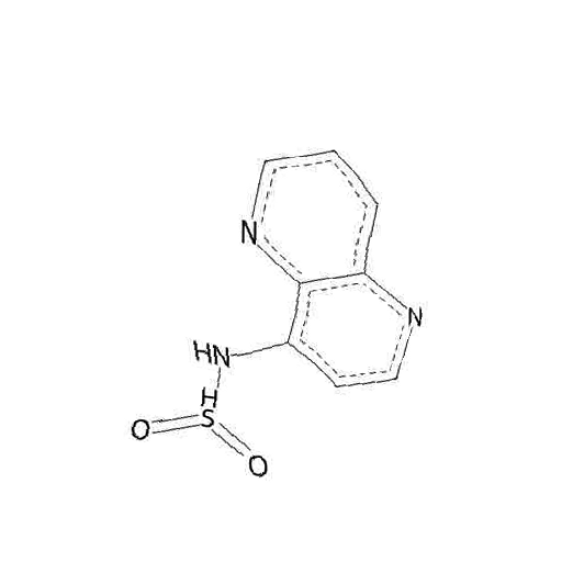 O=[SH](=O)Nc1ccnc2cccnc12